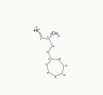 [CH]=CC(C)CCC1CCCCCC1